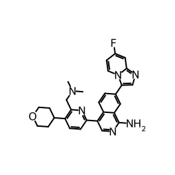 CN(C)Cc1nc(-c2cnc(N)c3cc(-c4cnc5cc(F)ccn45)ccc23)ccc1C1CCOCC1